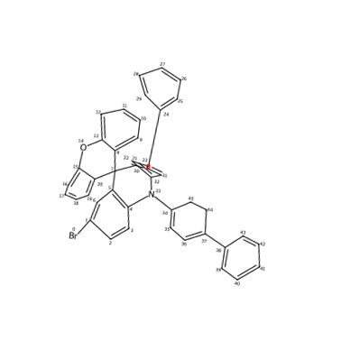 Brc1ccc2c(c1)C1(c3ccccc3Oc3ccccc31)c1cc(-c3ccccc3)ccc1N2C1=CC=C(c2ccccc2)CC1